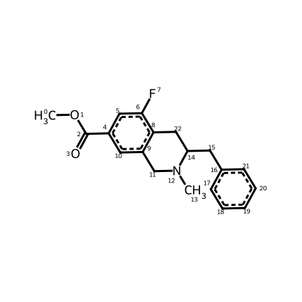 COC(=O)c1cc(F)c2c(c1)CN(C)C(Cc1ccccc1)C2